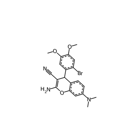 COc1cc(Br)c(C2C(C#N)=C(N)Oc3cc(N(C)C)ccc32)cc1OC